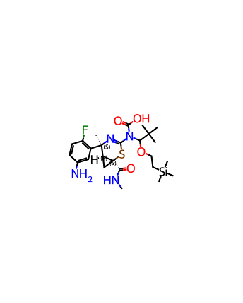 CNC(=O)[C@]12C[C@H]1[C@@](C)(c1cc(N)ccc1F)N=C(N(C(=O)O)C(OCC[Si](C)(C)C)C(C)(C)C)S2